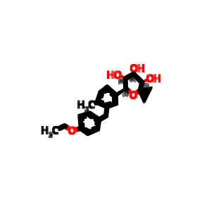 CCOc1ccc(Cc2cc([C@@H]3OC4(CC4)[C@@H](O)[C@H](O)[C@H]3O)ccc2C)cc1